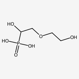 O=P(O)(O)C(O)COCCO